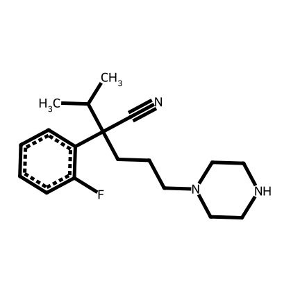 CC(C)C(C#N)(CCCN1CCNCC1)c1ccccc1F